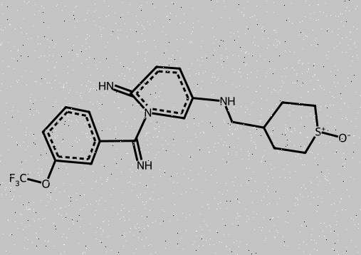 N=C(c1cccc(OC(F)(F)F)c1)n1cc(NCC2CC[S+]([O-])CC2)ccc1=N